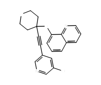 Oc1cncc(C#CC2(Oc3cccc4cccnc34)CCOCC2)c1